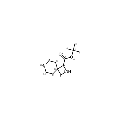 CC(C)(C)OC(=O)C1NCC12CC[N]CC2